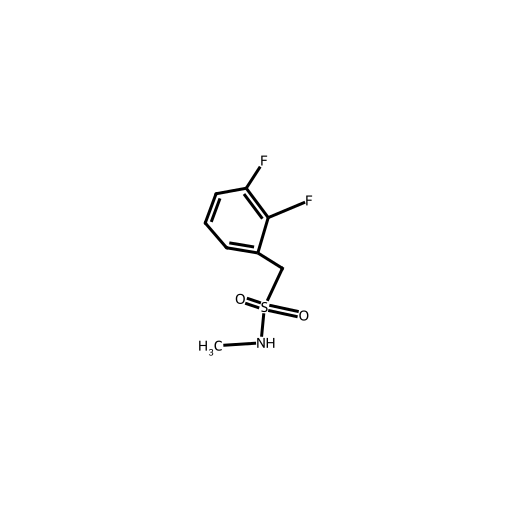 CNS(=O)(=O)Cc1cccc(F)c1F